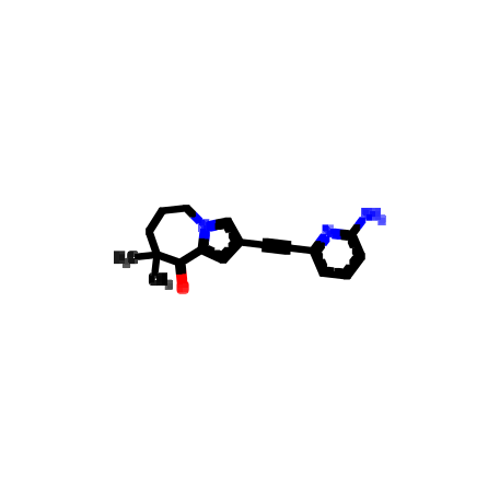 CC1(C)CCCn2cc(C#Cc3cccc(N)n3)cc2C1=O